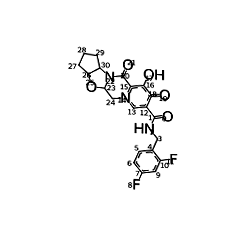 O=C(NCc1ccc(F)cc1F)c1cn2c(c(O)c1=O)C(=O)N1C(C2)OC2CCCC21